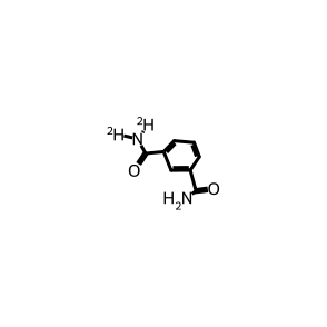 [2H]N([2H])C(=O)c1cccc(C(N)=O)c1